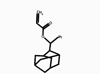 C=CC(=O)OC(C(C)C)C1C2CC3CC(C2)CC1C3